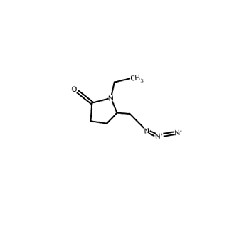 CCN1C(=O)CCC1CN=[N+]=[N-]